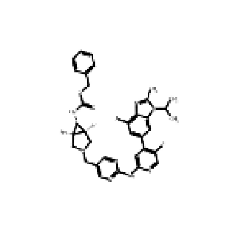 Cc1nc2c(F)cc(-c3cc(Nc4ncc(CN5C[C@@H]6[C@H](C5)[C@H]6NC(=O)OCc5ccccc5)cn4)ncc3F)cc2n1C(C)C